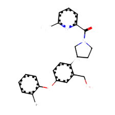 Cc1cccc(C(=O)N2CC[C@@H](c3ccc(Oc4ccccc4C(C)C)cc3CO)C2)n1